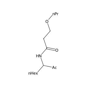 CCCCCCC(NC(=O)CCOCCC)C(C)=O